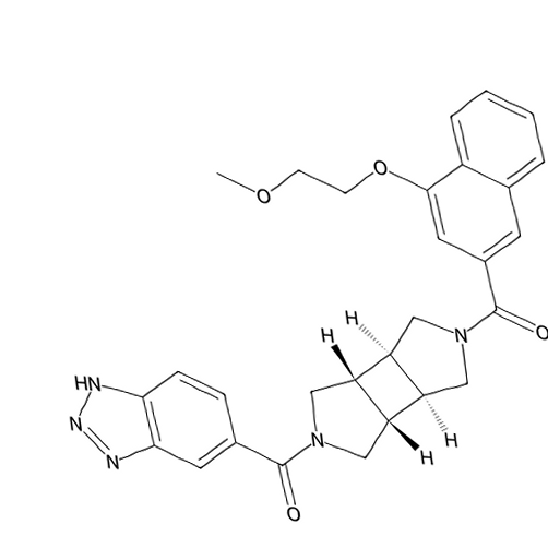 COCCOc1cc(C(=O)N2C[C@@H]3[C@H](C2)[C@H]2CN(C(=O)c4ccc5[nH]nnc5c4)C[C@@H]32)cc2ccccc12